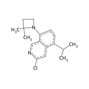 CC(C)c1ccc(N2CCC2(C)C)c2cnc(Cl)cc12